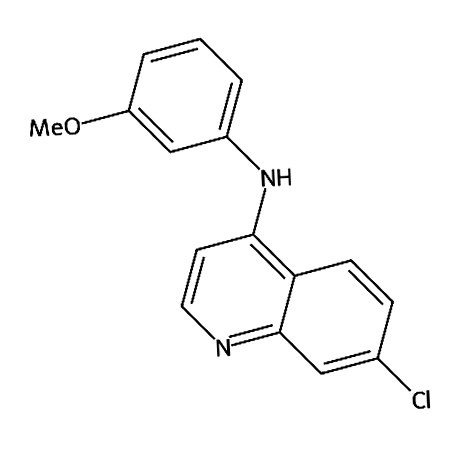 COc1cccc(Nc2ccnc3cc(Cl)ccc23)c1